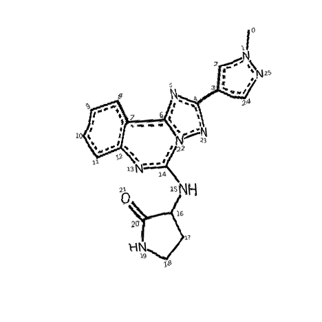 Cn1cc(-c2nc3c4ccccc4nc(NC4CCNC4=O)n3n2)cn1